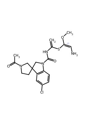 C=C(NC(=O)N1CC2(CCN(C(C)=O)C2)c2cc(Cl)ccc21)S/C(=C\N)OC